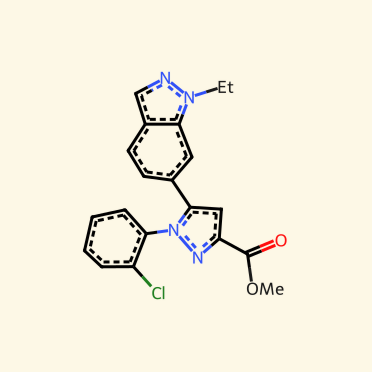 CCn1ncc2ccc(-c3cc(C(=O)OC)nn3-c3ccccc3Cl)cc21